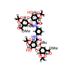 CCCCO[C@H]1C=C(C(=O)OC)[C@H]2OC(C)(C)O[C@H]2[C@@H]1O[C@H]1C=C(C(=O)Nc2cccc(NC(=O)C3=C[C@H](O[C@H]4[C@@H]5OC(C)(C)O[C@@H]5C(C(=O)OC)=C[C@@H]4OCCCC)[C@@H](O)[C@@H]4OC(C)(C)O[C@H]34)c2)[C@H]2OC(C)(C)O[C@H]2[C@@H]1O